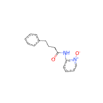 O=C(CCCc1ccccc1)Nc1cccc[n+]1[O-]